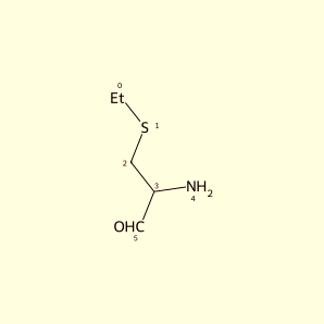 CCSCC(N)C=O